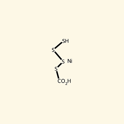 O=C(O)SSSS.[Ni]